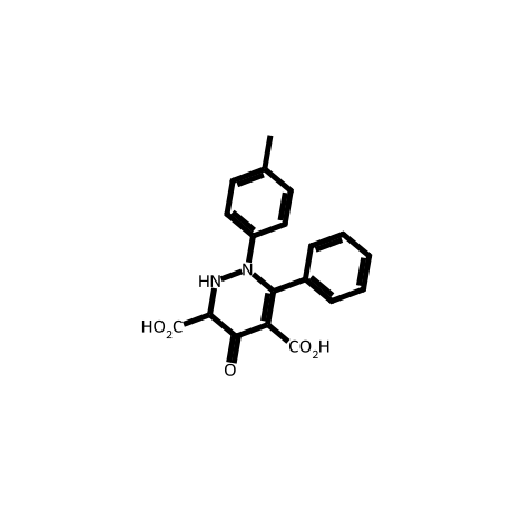 Cc1ccc(N2NC(C(=O)O)C(=O)C(C(=O)O)=C2c2ccccc2)cc1